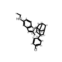 CCNc1ccc2c(c1)cc(C)n2C12CC3CC(CC(c4ccc(Cl)cc4)(C3)C1)C2